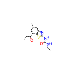 CCNC(=O)Nc1nc2cc(C)cc(C(=O)CC)c2s1